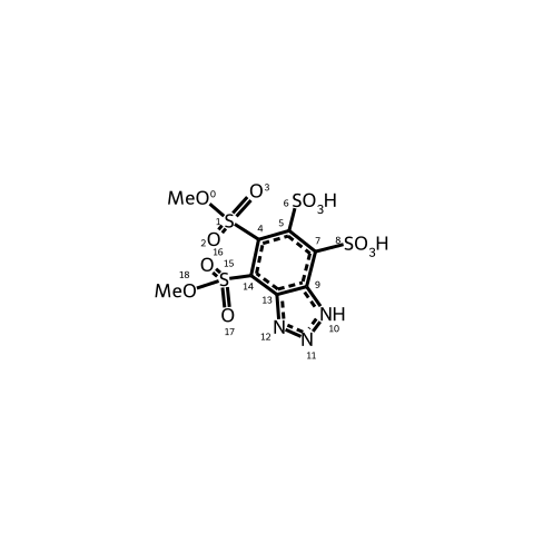 COS(=O)(=O)c1c(S(=O)(=O)O)c(S(=O)(=O)O)c2[nH]nnc2c1S(=O)(=O)OC